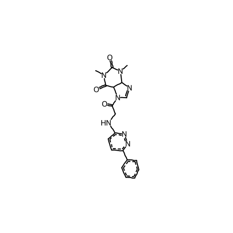 CN1C(=O)C2C(N=CN2C(=O)CNc2ccc(-c3ccccc3)nn2)N(C)C1=O